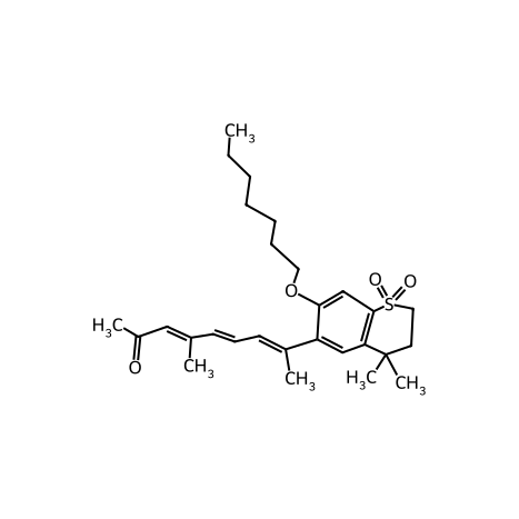 CCCCCCCOc1cc2c(cc1/C(C)=C/C=C/C(C)=C/C(C)=O)C(C)(C)CCS2(=O)=O